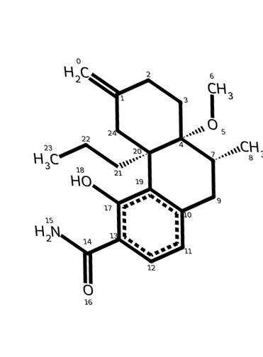 C=C1CC[C@@]2(OC)[C@H](C)Cc3ccc(C(N)=O)c(O)c3[C@@]2(CCC)C1